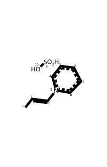 CC=C[n+]1ccccc1.O=S(=O)(O)O